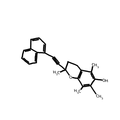 Cc1c(C)c2c(c(C)c1O)CCC(C)(C#Cc1cccc3ccccc13)O2